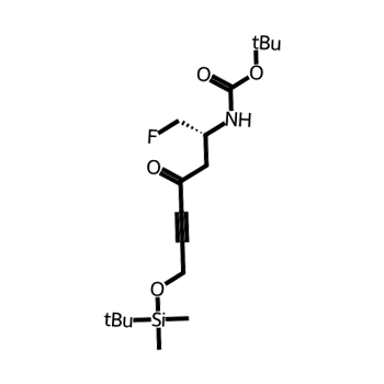 CC(C)(C)OC(=O)N[C@@H](CF)CC(=O)C#CCO[Si](C)(C)C(C)(C)C